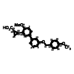 COc1ccc(-c2cncc(OCc3ccc(OC(F)(F)F)cc3)c2)nc1[C@H]1C[C@@H]1C(=O)O